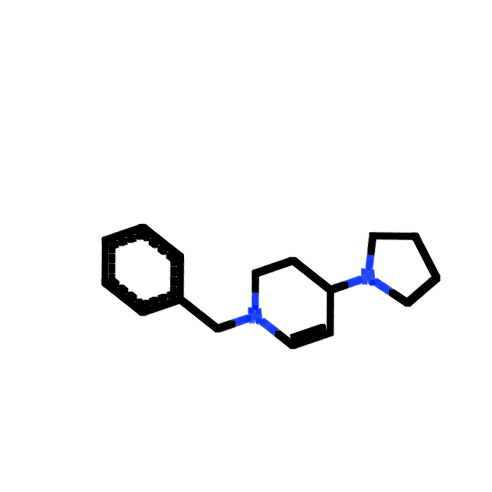 C1=CN(Cc2ccccc2)CCC1N1CCCC1